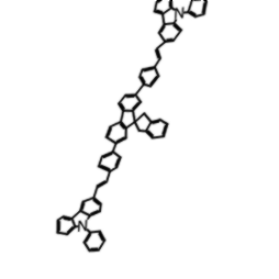 C(=C\c1ccc2c(c1)c1ccccc1n2-c1ccccc1)/c1ccc(-c2ccc3c(c2)C2(Cc4ccccc4C2)c2cc(-c4ccc(/C=C/c5ccc6c(c5)c5ccccc5n6-c5ccccc5)cc4)ccc2-3)cc1